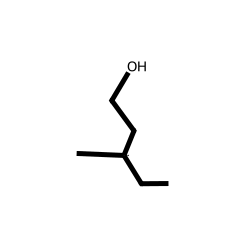 CC[C](C)CCO